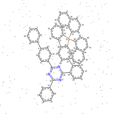 c1ccc(-c2ccc(-c3nc(-c4ccccc4)nc(-c4ccccc4-c4ccc5c(c4)S(c4cccc6ccccc46)(c4cccc6ccccc46)c4ccccc4-5)n3)cc2)cc1